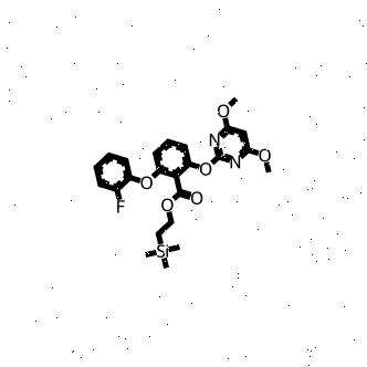 COc1cc(OC)nc(Oc2cccc(Oc3ccccc3F)c2C(=O)OCC[Si](C)(C)C)n1